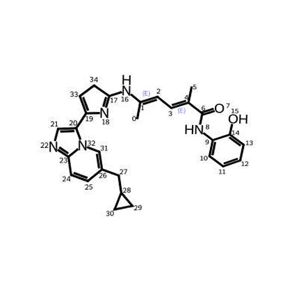 C/C(=C\C=C(/C)C(=O)Nc1ccccc1O)NC1=NC(c2cnc3ccc(CC4CC4)cn23)=CC1